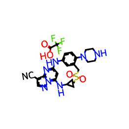 CS(=O)(=O)Cc1cc(Nc2cc(NC3CC3)n3ncc(C#N)c3n2)ccc1N1CCNCC1.O=C(O)C(F)(F)F